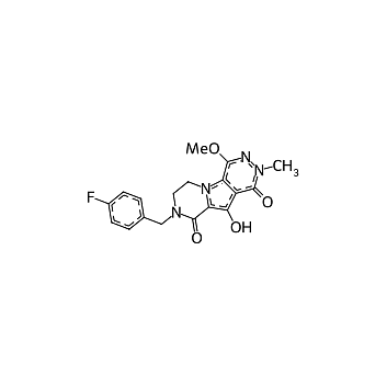 COc1nn(C)c(=O)c2c(O)c3n(c12)CCN(Cc1ccc(F)cc1)C3=O